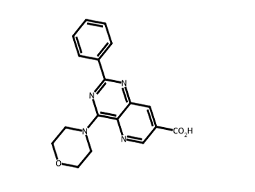 O=C(O)c1cnc2c(N3CCOCC3)nc(-c3ccccc3)nc2c1